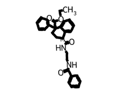 CCOC(=O)C1(c2ccccc2)CC[C@@H](C(=O)NCCNC(=O)c2ccccc2)c2ccccc21